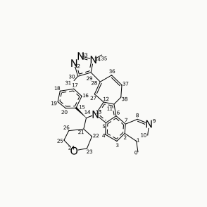 CCc1ccc2c(c1/C=N\C)c1c(n2[C@H](c2ccccc2)C2CCOCC2)C=C(c2c(C)nnn2C)C=CC1